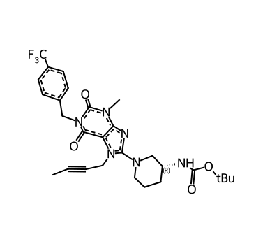 CC#CCn1c(N2CCC[C@@H](NC(=O)OC(C)(C)C)C2)nc2c1c(=O)n(Cc1ccc(C(F)(F)F)cc1)c(=O)n2C